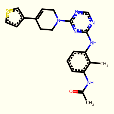 CC(=O)Nc1cccc(Nc2ncnc(N3CC=C(c4ccsc4)CC3)n2)c1C